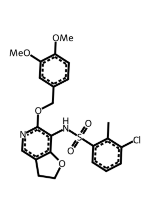 COc1ccc(COc2ncc3c(c2NS(=O)(=O)c2cccc(Cl)c2C)OCC3)cc1OC